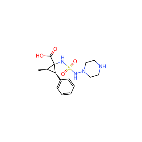 C[C@@H]1[C@H](c2ccccc2)[C@]1(NS(=O)(=O)NN1CCNCC1)C(=O)O